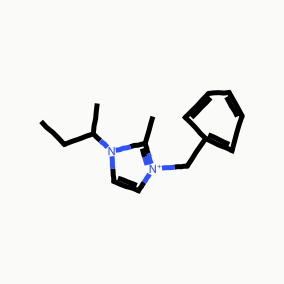 CCC(C)n1cc[n+](Cc2ccccc2)c1C